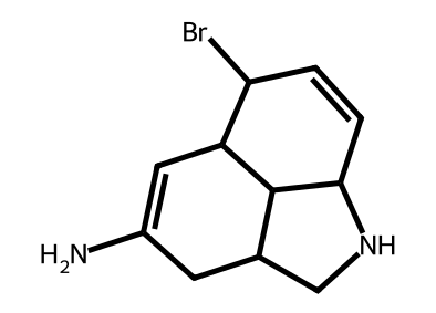 NC1=CC2C(Br)C=CC3NCC(C1)C32